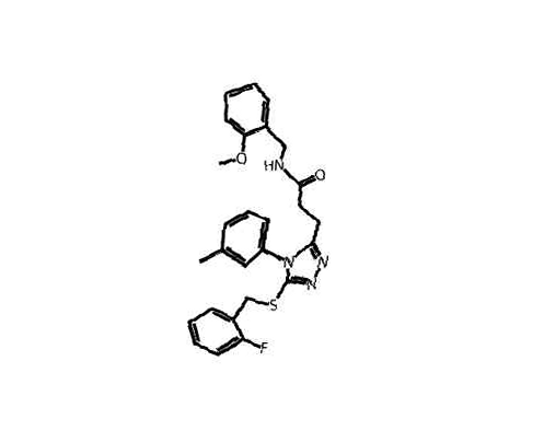 COc1ccccc1CNC(=O)CCc1nnc(SCc2ccccc2F)n1-c1cccc(C)c1